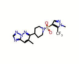 Cc1cc2ncnn2nc1C1CCN(S(=O)(=O)c2cnn(C)c2C(F)(F)F)CC1